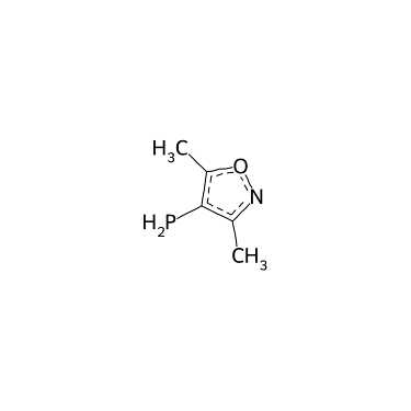 Cc1noc(C)c1P